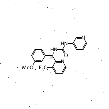 COc1cccc([C@H](NC(=O)Nc2cccnc2)c2ncccc2C(F)(F)F)c1